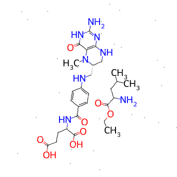 CCOC(=O)C(N)CC(C)C.CN1c2c(nc(N)[nH]c2=O)NC[C@@H]1CNc1ccc(C(=O)NC(CCC(=O)O)C(=O)O)cc1